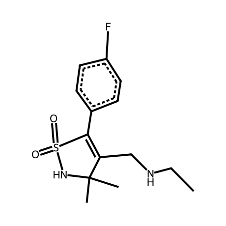 CCNCC1=C(c2ccc(F)cc2)S(=O)(=O)NC1(C)C